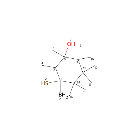 BC1(S)C(C)C(C)(O)C(C)(C)C(C)(C)C1(C)C